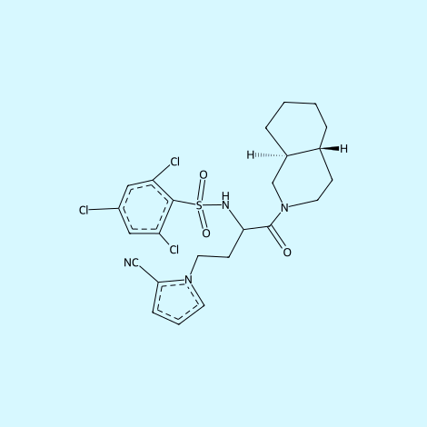 N#Cc1cccn1CCC(NS(=O)(=O)c1c(Cl)cc(Cl)cc1Cl)C(=O)N1CC[C@H]2CCCC[C@@H]2C1